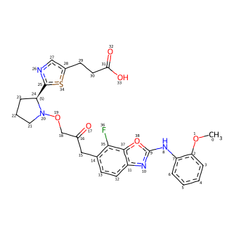 COc1ccccc1Nc1nc2ccc(CC(=O)CON3CCC[C@H]3c3ncc(CCC(=O)O)s3)c(F)c2o1